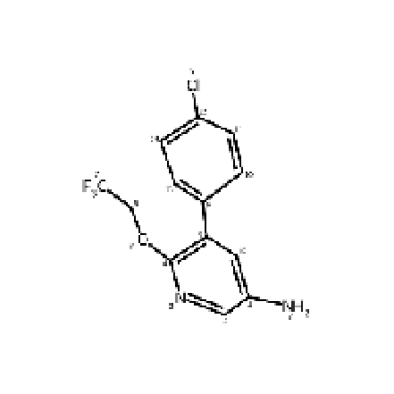 Nc1cnc(OCC(F)(F)F)c(-c2ccc(Cl)cc2)c1